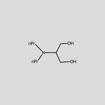 CCCN(CCC)C(CO)CO